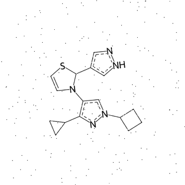 C1=CN(c2cn(C3CCC3)nc2C2CC2)C(c2cn[nH]c2)S1